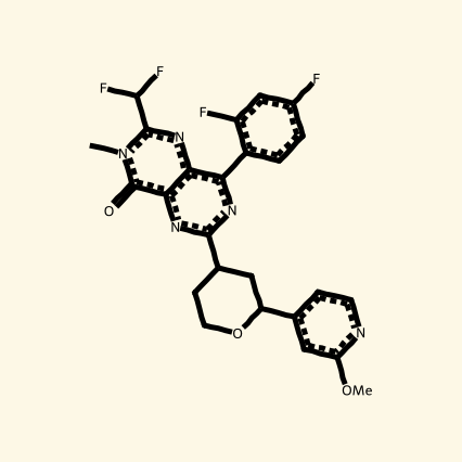 COc1cc(C2CC(c3nc(-c4ccc(F)cc4F)c4nc(C(F)F)n(C)c(=O)c4n3)CCO2)ccn1